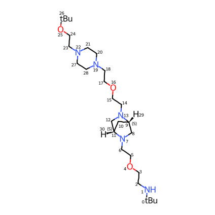 CC(C)(C)NCCOCCN1C[C@@H]2C[C@H]1CN2CCOCCN1CCN(CCOC(C)(C)C)CC1